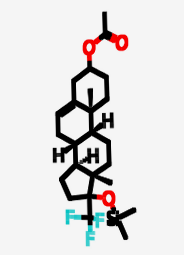 CC(=O)OC1CC[C@@]2(C)C(=CC[C@@H]3[C@H]2CC[C@@]2(C)[C@H]3CCC2(O[Si](C)(C)C)C(F)(F)F)C1